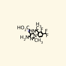 Cc1nc(N)c(/C=C/C(=O)O)c(N[C@H](C)c2cccc(C(F)F)c2F)n1